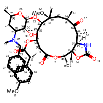 CC[C@H]1OC(=O)[C@H](C)[C@@H](OC(=O)Cc2ccc(OC)cc2)[C@H](C)[C@@H](O[C@@H]2O[C@H](C)C[C@H](N(C)Cc3ccccc3)[C@H]2O)[C@@](C)(OC)C[C@@H](C)C(=O)[C@H](C)[C@H]2NC(=O)O[C@@]21C